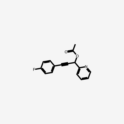 CC(=O)OC(C#Cc1ccc(F)cc1)c1ccccn1